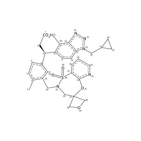 Cc1ccc([C@@H](CC(=O)O)c2ccc3c(nnn3CC3CC3)c2C)cc1CN1CC2(COC2)Oc2ncccc2S1(=O)=O